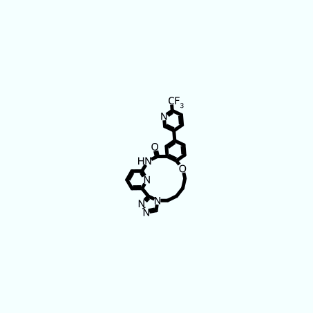 O=C1Nc2cccc(n2)-c2nncn2CCCCOc2ccc(-c3ccc(C(F)(F)F)nc3)cc21